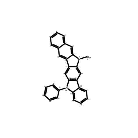 CC(C)(C)n1c2cc3ccccc3cc2c2cc3c(cc21)c1ccccc1n3-c1ccccc1